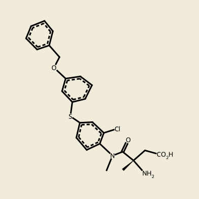 CN(C(=O)[C@@](C)(N)CC(=O)O)c1ccc(Sc2cccc(OCc3ccccc3)c2)cc1Cl